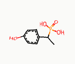 CC(c1ccc(O)cc1)P(=O)(O)O